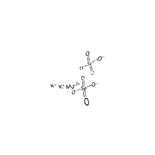 O=[Se](=O)([O-])[O-].O=[Se](=O)([O-])[O-].[K+].[K+].[Mg+2]